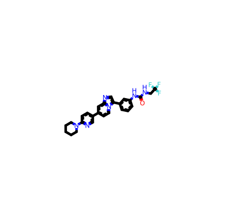 O=C(NCC(F)(F)F)Nc1cccc(-c2cnc3cc(-c4ccc(N5CCCCC5)nc4)ccn23)c1